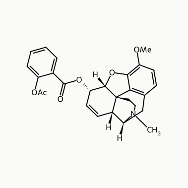 COc1ccc2c3c1O[C@H]1[C@@H](OC(=O)c4ccccc4OC(C)=O)C=C[C@H]4[C@@H](C2)N(C)CC[C@@]341